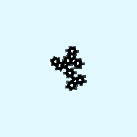 c1ccc2c(c1)ccc1c2c2cc3c4ccccc4n4c5ccccc5c(c2n1-c1ccc(-n2c5ccccc5c5cccnc52)cc1)c34